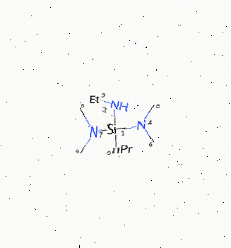 CCC[Si](NCC)(N(C)C)N(C)C